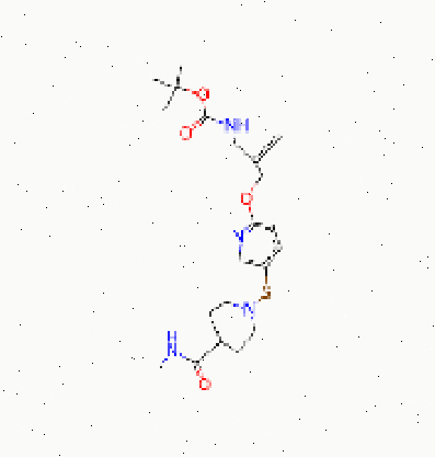 C=C(CNC(=O)OC(C)(C)C)COc1ccc(SN2CCC(C(=O)NC)CC2)cn1